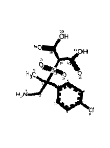 CC(CN)(c1ccc(Cl)cc1)S(=O)(=O)C(C(=O)O)C(=O)O